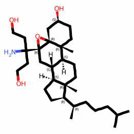 CC(C)CCC[C@@H](C)[C@H]1CC[C@H]2[C@@H]3C[C@]4(C(N)(CCO)CCO)O[C@@]45C[C@@H](O)CC[C@]5(C)[C@H]3CC[C@]12C